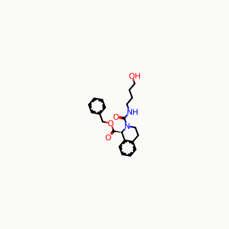 O=C(OCc1ccccc1)[C@@H]1c2ccccc2CCN1C(=O)NCCCCO